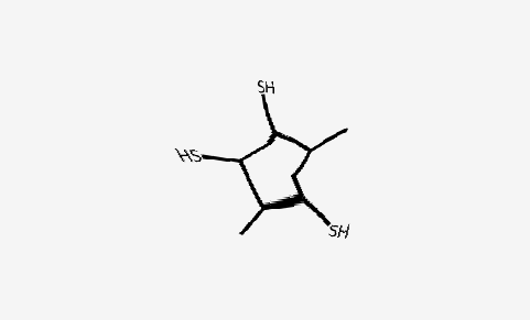 CC1C(S)C(C)C(S)C1S